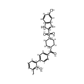 Cc1cccc(-c2ccc(C(=O)N3CCN(S(=O)(=O)c4nc5cc(Cl)ccc5[nH]4)CC3)cc2)[n+]1[O-]